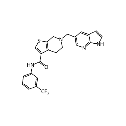 O=C(Nc1cccc(C(F)(F)F)c1)c1csc2c1CCN(Cc1cnc3[nH]ccc3c1)C2